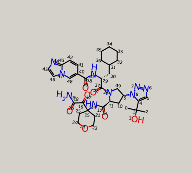 CC(C)(O)c1cnnn1[C@H]1C[C@@H](C(=O)NC2(C(=O)C(N)=O)CCOCC2)N(C(=O)[C@@H](CC2CCCCC2)NC(=O)c2ccc3nccn3c2)C1